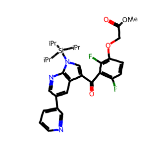 COC(=O)COc1ccc(F)c(C(=O)c2cn([Si](C(C)C)(C(C)C)C(C)C)c3ncc(-c4cccnc4)cc23)c1F